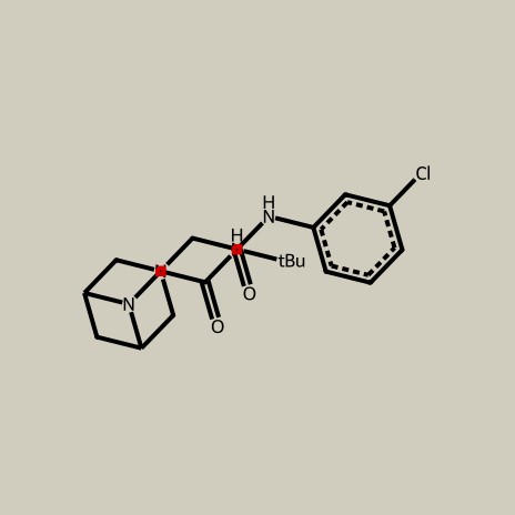 CC(C)(C)NC(=O)CN1C2CC1CN(CC(=O)Nc1cccc(Cl)c1)C2